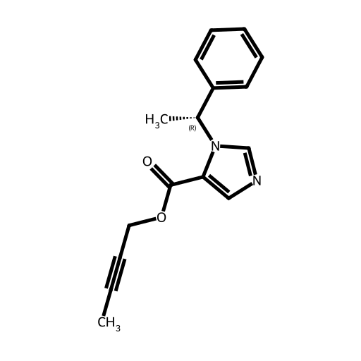 CC#CCOC(=O)c1cncn1[C@H](C)c1ccccc1